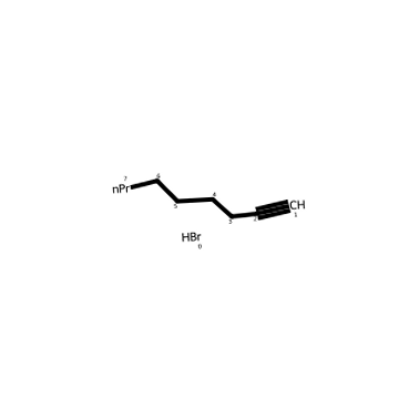 Br.C#CCCCCCCC